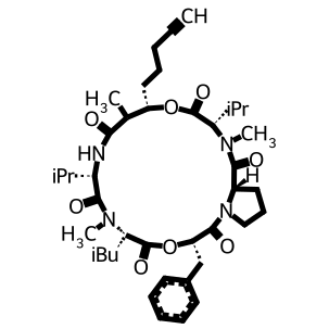 C#CCCC[C@@H]1OC(=O)[C@H](C(C)C)N(C)C(=O)[C@@H]2CCCN2C(=O)[C@H](Cc2ccccc2)OC(=O)[C@H]([C@@H](C)CC)N(C)C(=O)[C@H](C(C)C)NC(=O)C1C